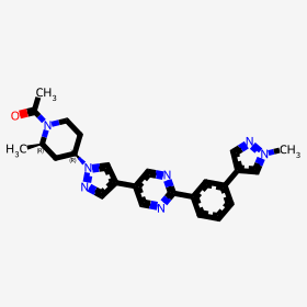 CC(=O)N1CC[C@@H](n2cc(-c3cnc(-c4cccc(-c5cnn(C)c5)c4)nc3)cn2)C[C@H]1C